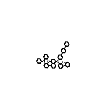 c1ccc(-c2ccc(-c3ccc(N(c4ccc5c6c(cccc46)-c4cccc(N(c6ccccc6)c6ccccc6)c4O5)c4cccc5c4oc4ccccc45)cc3)cc2)cc1